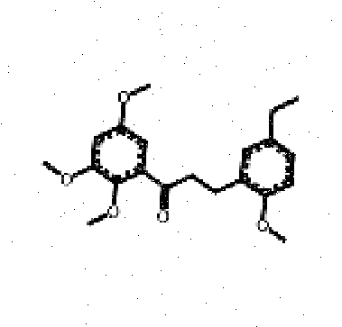 CCc1ccc(OC)c(CCC(=O)c2cc(OC)cc(OC)c2OC)c1